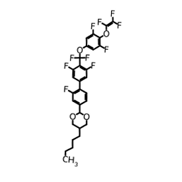 CCCCCC1COC(c2ccc(-c3cc(F)c(C(F)(F)Oc4cc(F)c(OC(F)=C(F)F)c(F)c4)c(F)c3)c(F)c2)OC1